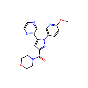 COc1ccc(-n2nc(C(=O)N3CCOCC3)cc2-c2cnccn2)cn1